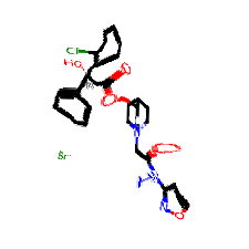 O=C(C[N+]12CCC(CC1)C(OC(=O)[C@@](O)(c1ccccc1)c1ccccc1Cl)C2)Nc1ccon1.[Br-]